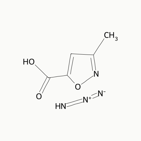 Cc1cc(C(=O)O)on1.[N-]=[N+]=N